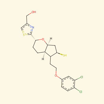 OCc1csc([C@H]2CC[C@@H]3C(CCOc4ccc(Cl)c(Cl)c4)[C@H](S)C[C@@H]3O2)n1